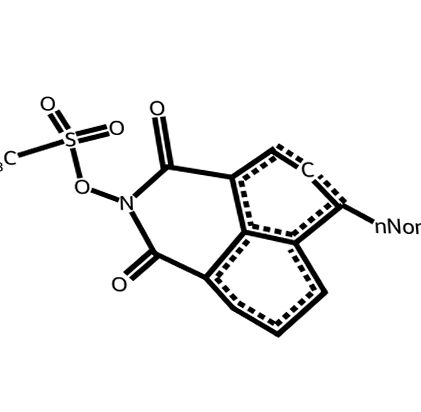 CCCCCCCCCc1ccc2c3c(cccc13)C(=O)N(OS(=O)(=O)C(F)(F)F)C2=O